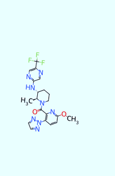 COc1ccc(-n2nccn2)c(C(=O)N2CCC[C@@H](Nc3cnc(C(F)(F)F)cn3)[C@@H]2C)n1